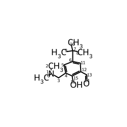 CN(C)Cc1cc(C(C)(C)C)cc(C=O)c1O